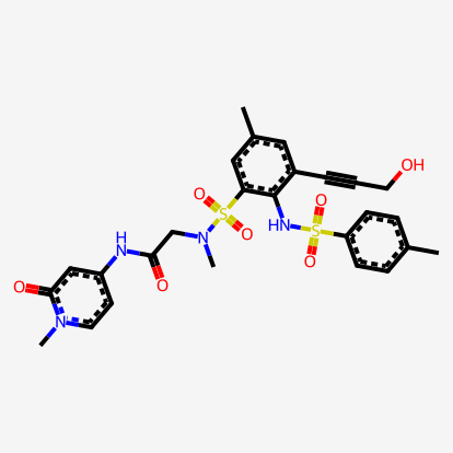 Cc1ccc(S(=O)(=O)Nc2c(C#CCO)cc(C)cc2S(=O)(=O)N(C)CC(=O)Nc2ccn(C)c(=O)c2)cc1